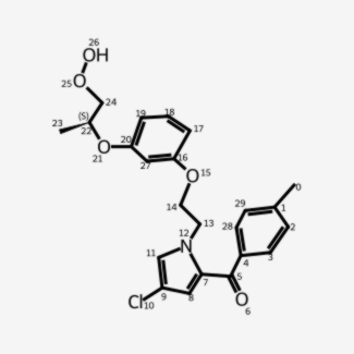 Cc1ccc(C(=O)c2cc(Cl)cn2CCOc2cccc(O[C@@H](C)COO)c2)cc1